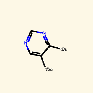 CC(C)(C)c1cncnc1C(C)(C)C